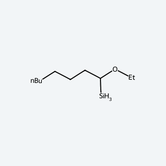 CCCCCCCC([SiH3])OCC